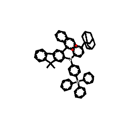 CC1(C)c2ccccc2-c2cc(-c3cccc4ccccc34)c(N(c3ccc(C45CC6CC(CC(C6)C4)C5)cc3)c3ccc([Si](c4ccccc4)(c4ccccc4)c4ccccc4)cc3)cc21